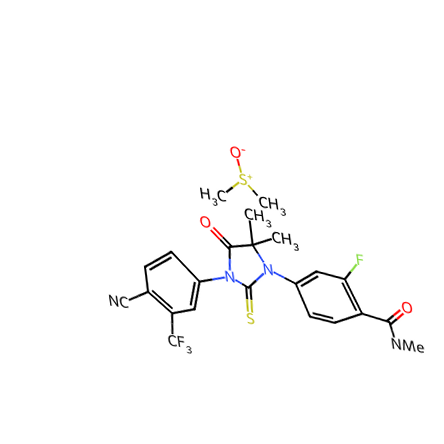 CNC(=O)c1ccc(N2C(=S)N(c3ccc(C#N)c(C(F)(F)F)c3)C(=O)C2(C)C)cc1F.C[S+](C)[O-]